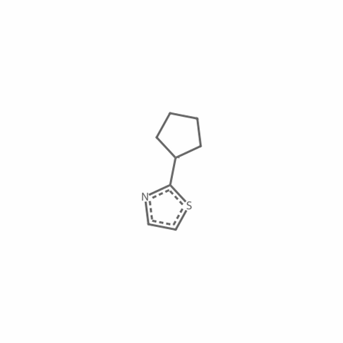 c1csc([C]2CCCC2)n1